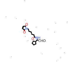 O=CC(NC(=O)CCCCCN1C(=O)C=CC1=O)C1CCCC1